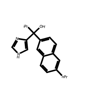 CCCc1ccc2cc(C(O)(c3c[nH]cn3)C(C)C)ccc2c1